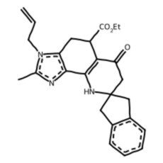 C=CCn1c(C)nc2c1CC(C(=O)OCC)C1=C2NC2(CC1=O)Cc1ccccc1C2